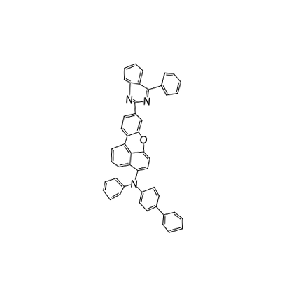 c1ccc(-c2ccc(N(c3ccccc3)c3ccc4c5c(cccc35)-c3ccc(-c5nc(-c6ccccc6)c6ccccc6n5)cc3O4)cc2)cc1